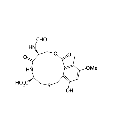 COc1cc(O)c2c(c1C)C(=O)OC[C@H](NC=O)C(=O)N[C@H](C(=O)O)CSC2